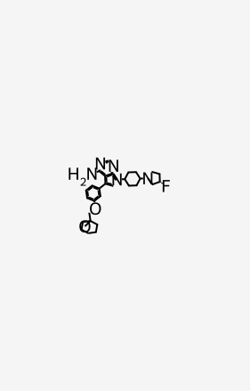 Nc1ncnc2c1c(-c1cccc(OCC34CCC(CC3)O4)c1)cn2C1CCC(N2CC[C@H](F)C2)CC1